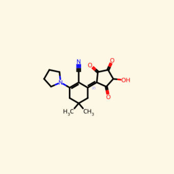 CC1(C)CC(N2CCCC2)=C(C#N)/C(=C2\C(=O)C(=O)C(O)C2=O)C1